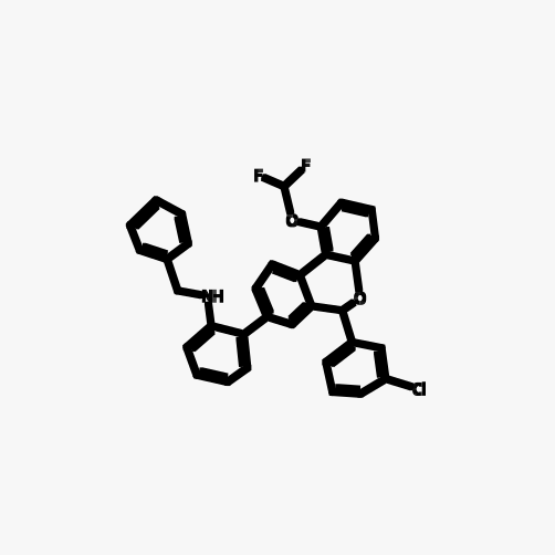 FC(F)Oc1cccc2c1-c1ccc(-c3ccccc3NCc3ccccc3)cc1C(c1cccc(Cl)c1)O2